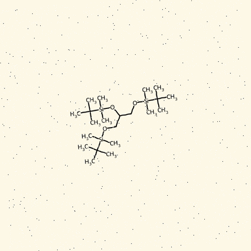 CC(C)(C)[Si](C)(C)OCC(CO[Si](C)(C)C(C)(C)C)O[Si](C)(C)C(C)(C)C